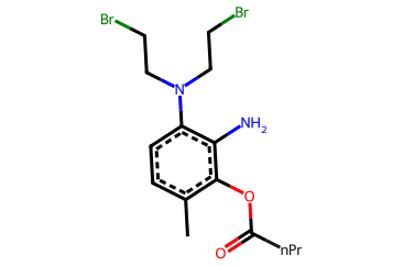 CCCC(=O)Oc1c(C)ccc(N(CCBr)CCBr)c1N